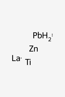 [La].[PbH2].[Ti].[Zn]